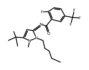 CCCCCn1c(=NC(=O)c2cc(C(F)(F)F)ccc2F)cc(C(C)(C)C)n1C